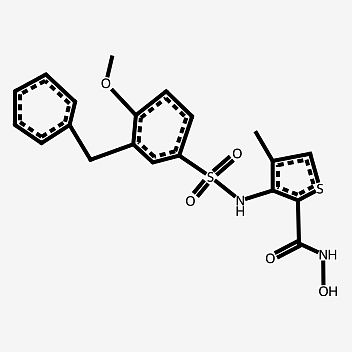 COc1ccc(S(=O)(=O)Nc2c(C)csc2C(=O)NO)cc1Cc1ccccc1